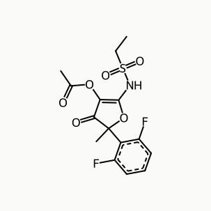 CCS(=O)(=O)NC1=C(OC(C)=O)C(=O)C(C)(c2c(F)cccc2F)O1